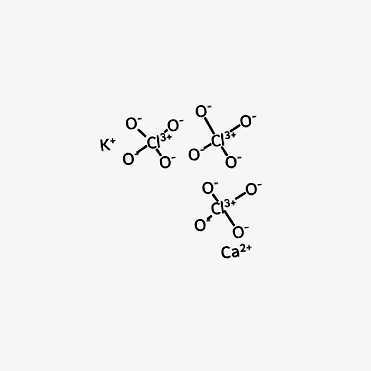 [Ca+2].[K+].[O-][Cl+3]([O-])([O-])[O-].[O-][Cl+3]([O-])([O-])[O-].[O-][Cl+3]([O-])([O-])[O-]